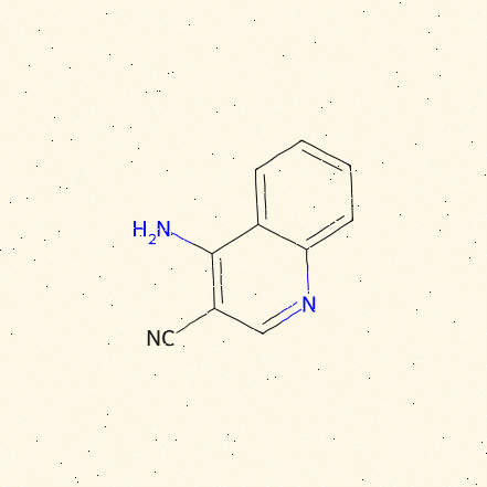 N#Cc1cnc2ccccc2c1N